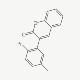 Cc1ccc(C(C)C)c(-c2cc3ccccc3oc2=O)c1